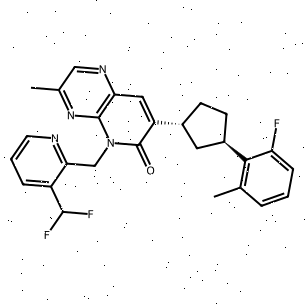 Cc1cnc2cc([C@@H]3CC[C@@H](c4c(C)cccc4F)C3)c(=O)n(Cc3ncccc3C(F)F)c2n1